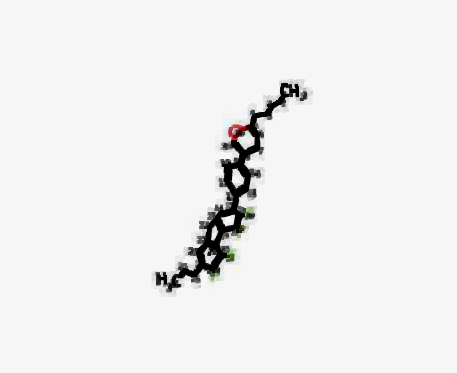 CCCCCC1=CCC(c2ccc(-c3cc4c(c(F)c3F)-c3c(cc(CCC)c(F)c3F)C4)cc2)CO1